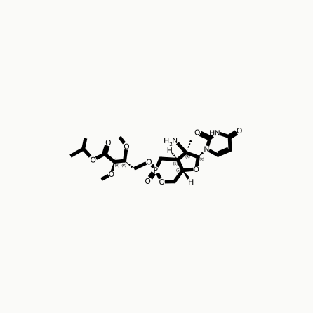 CO[C@H](COP1(=O)C[C@@H]2[C@@H](CO1)O[C@@H](n1ccc(=O)[nH]c1=O)[C@]2(C)N)[C@@H](OC)C(=O)OC(C)C